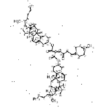 CC(C)CCC[C@@H](C)[C@H]1CC[C@H]2[C@@H]3CC=C4C[C@@H](OC(=O)C(OC(=O)CCN5CCN(C)CC5)C(=O)O[C@H]5CC[C@@]6(C)C(=CC[C@H]7[C@@H]8CC[C@H]([C@H](C)CCCC(C)C)[C@@]8(C)CC[C@@H]76)C5)CC[C@]4(C)[C@H]3CC[C@]12C